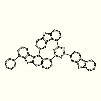 c1ccc(-c2nc(-c3ccc4c(c3)oc3ccccc34)nc(-c3cccc4oc5ccc(-c6cccc7oc8c(-c9ccccc9)cccc8c67)cc5c34)n2)cc1